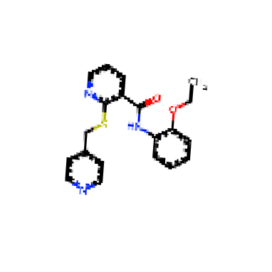 CCOc1ccccc1NC(=O)c1cccnc1SCc1ccncc1